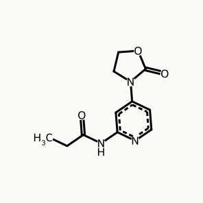 CCC(=O)Nc1cc(N2CCOC2=O)ccn1